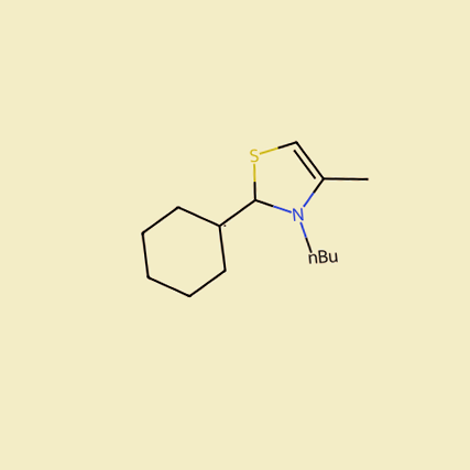 CCCCN1C(C)=CSC1[C]1CCCCC1